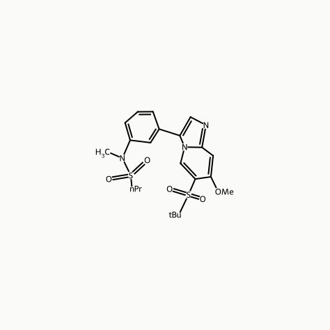 CCCS(=O)(=O)N(C)c1cccc(-c2cnc3cc(OC)c(S(=O)(=O)C(C)(C)C)cn23)c1